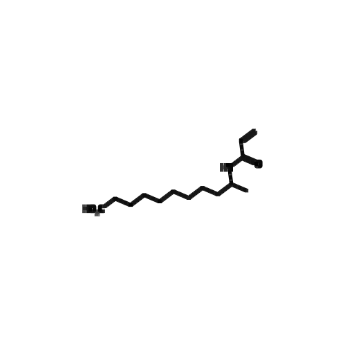 C=CC(=O)NC(C)CCCCCCCCC(=O)O